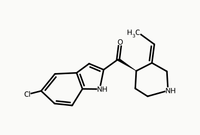 C/C=C1/CNCC[C@H]1C(=O)c1cc2cc(Cl)ccc2[nH]1